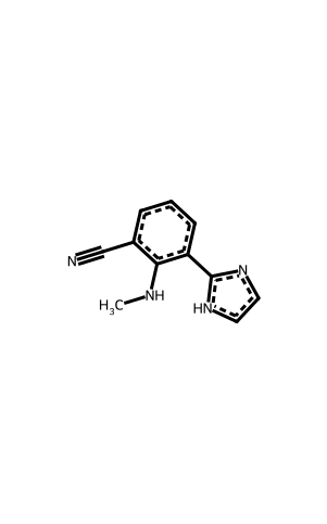 CNc1c(C#N)cccc1-c1ncc[nH]1